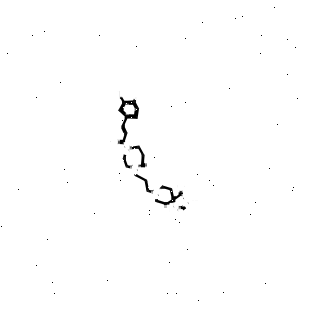 O=C1NC(=O)C2(CCN(CCCN3CCN(C(=O)/C=C/c4ccc(Cl)c(Cl)c4)CCC3=O)CC2)N1